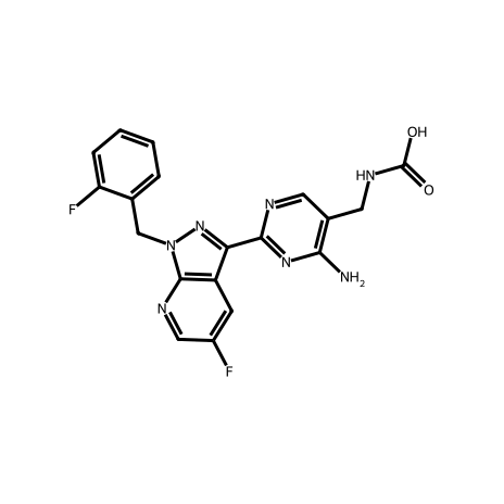 Nc1nc(-c2nn(Cc3ccccc3F)c3ncc(F)cc23)ncc1CNC(=O)O